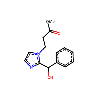 COC(=O)CCn1ccnc1C(O)c1ccccc1